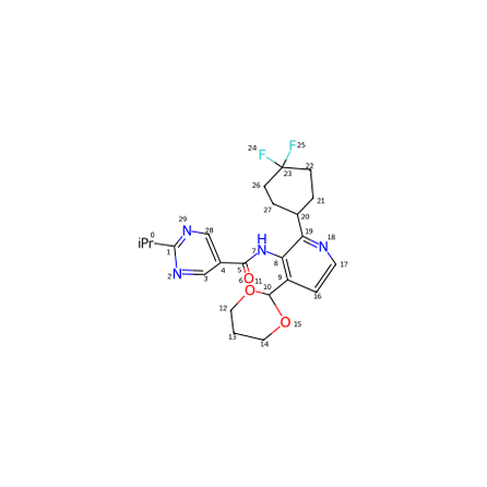 CC(C)c1ncc(C(=O)Nc2c(C3OCCCO3)ccnc2C2CCC(F)(F)CC2)cn1